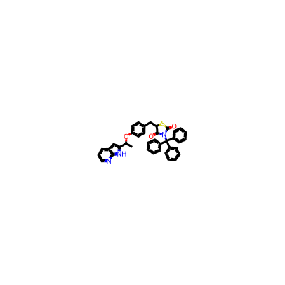 CC(Oc1ccc(CC2SC(=O)N(C(c3ccccc3)(c3ccccc3)c3ccccc3)C2=O)cc1)c1cc2cccnc2[nH]1